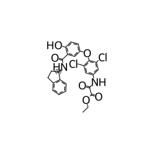 CCOC(=O)C(=O)Nc1cc(Cl)c(Oc2ccc(O)c(C(=O)N[C@@H]3CCc4ccccc43)c2)c(Cl)c1